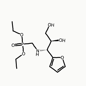 CCOP(=O)(CN[C@@H](c1ccco1)[C@H](O)CO)OCC